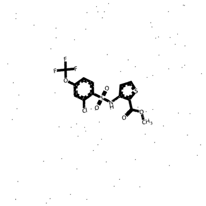 COC(=O)c1sccc1NS(=O)(=O)c1ccc(OC(F)(F)F)cc1Cl